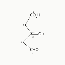 O=CCC(=O)CC(=O)O